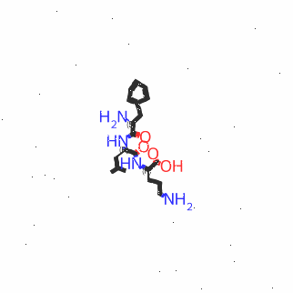 CC(C)C[C@@H](NC(=O)[C@H](N)Cc1ccccc1)C(=O)N[C@H](CCCN)C(=O)O